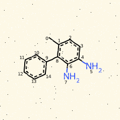 Cc1ccc(N)c(N)c1-c1ccccc1